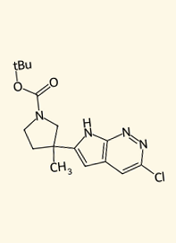 CC(C)(C)OC(=O)N1CCC(C)(c2cc3cc(Cl)nnc3[nH]2)C1